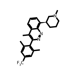 Cc1cc(C(F)(F)F)cc(C)c1-c1nnc2c([C@@H]3CCCN(C)C3)cccc2c1C